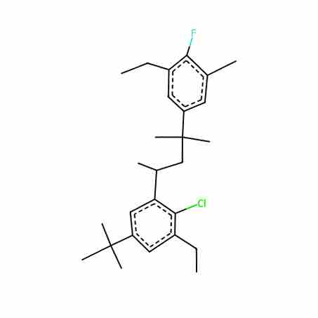 CCc1cc(C(C)(C)CC(C)c2cc(C(C)(C)C)cc(CC)c2Cl)cc(C)c1F